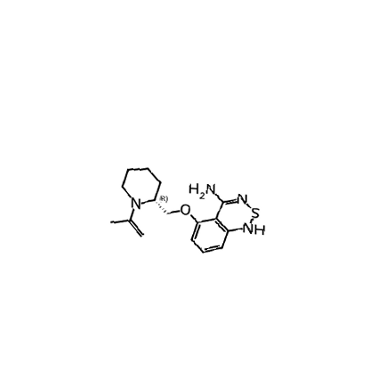 C=C(C)N1CCCC[C@@H]1COc1cccc2c1C(N)=NSN2